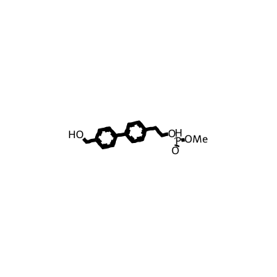 CO[PH](=O)OCCc1ccc(-c2ccc(CO)cc2)cc1